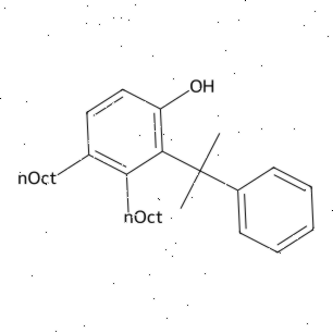 CCCCCCCCc1ccc(O)c(C(C)(C)c2ccccc2)c1CCCCCCCC